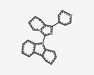 c1ccc2c(c1)c1ccccc1n2-c1nc(-c2ccncc2)c2ccccn12